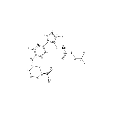 Cc1nc(-c2nnn(C)c2CNC(=O)OCC(C)C)ccc1O[C@H]1CCC[C@H](C(=O)O)C1